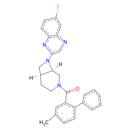 Cc1ccc(-c2ccccc2)c(C(=O)N2CC[C@H]3CN(c4cnc5cc(F)ccc5n4)[C@H]3C2)c1